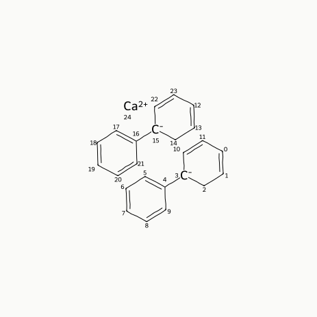 C1=CC[C-](c2ccccc2)C=C1.C1=CC[C-](c2ccccc2)C=C1.[Ca+2]